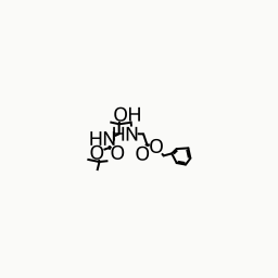 CC(O)(CNCC(=O)OCc1ccccc1)CNC(=O)OC(C)(C)C